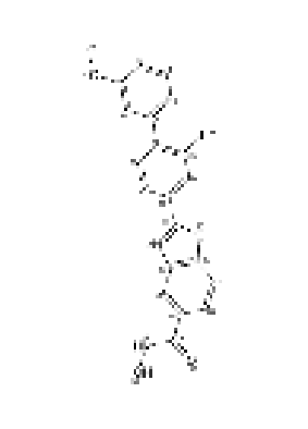 COc1cccc(-c2ccc(-c3nc4cc(C(=O)NO)ccc4o3)cc2F)c1